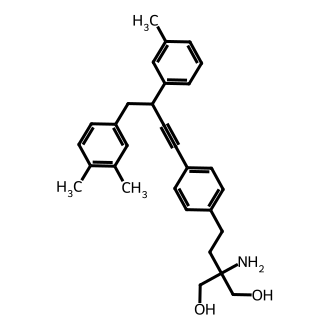 Cc1cccc(C(C#Cc2ccc(CCC(N)(CO)CO)cc2)Cc2ccc(C)c(C)c2)c1